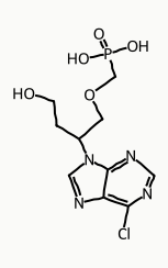 O=P(O)(O)COCC(CCO)n1cnc2c(Cl)ncnc21